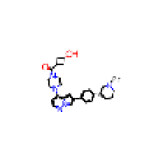 CC(C)N1CCC[C@H](c2ccc(-c3cc4c(N5CCN(C(=O)C6CC(O)C6)CC5)ccnn4c3)cc2)C1